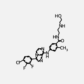 Cc1cc(Nc2nccn3c(-c4ccc(Cl)c(F)c4F)cnc23)ccc1C(=O)NCCNCCO